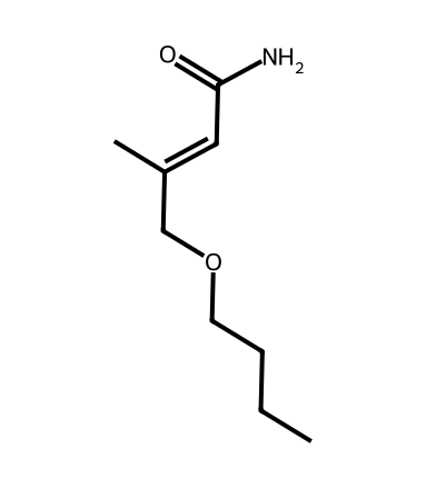 CCCCOCC(C)=CC(N)=O